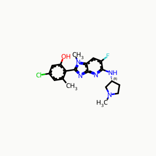 Cc1cc(Cl)cc(O)c1-c1nc2nc(N[C@@H]3CCN(C)C3)c(F)cc2n1C